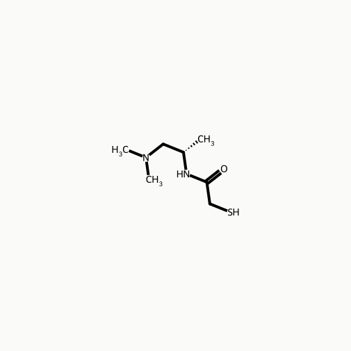 C[C@@H](CN(C)C)NC(=O)CS